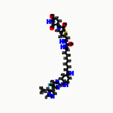 Cn1ncc(-c2nc(N[C@H]3CC[C@H](NCCCCCCCCNC(=O)NCc4cc5c(s4)C(=O)N(C4CCC(=O)NC4=O)C5)CC3)ncc2F)c1CC1CC1